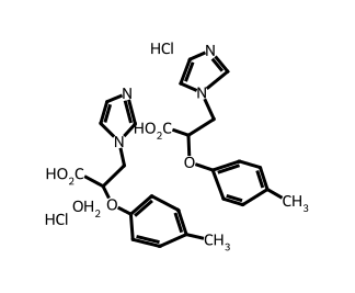 Cc1ccc(OC(Cn2ccnc2)C(=O)O)cc1.Cc1ccc(OC(Cn2ccnc2)C(=O)O)cc1.Cl.Cl.O